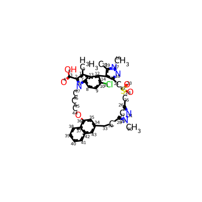 Cc1c(C(=O)O)n2c3ccc(Cl)c(c13)-c1c(nn(C)c1C)CS(=O)(=O)Cc1cc(n(C)n1)CCc1cc(c3ccccc3c1)OCCC2